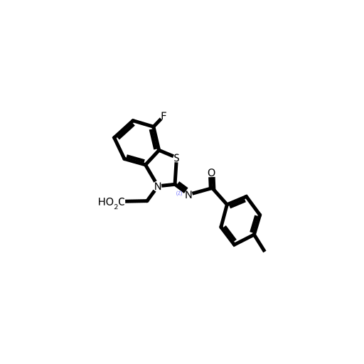 Cc1ccc(C(=O)/N=c2\sc3c(F)cccc3n2CC(=O)O)cc1